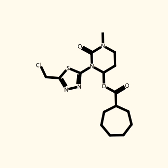 CN1CCC(OC(=O)C2CCCCCC2)N(c2nnc(CCl)s2)C1=O